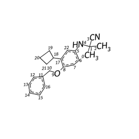 CC(C)(C#N)Nc1ccc(OCc2ccccc2)c(C2CCC2)c1